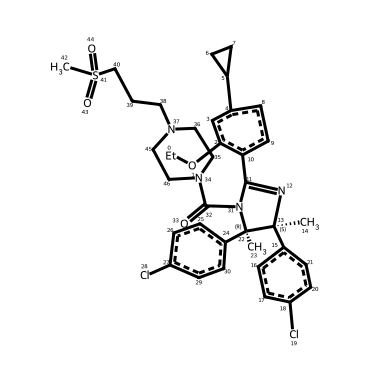 CCOc1cc(C2CC2)ccc1C1=N[C@@](C)(c2ccc(Cl)cc2)[C@@](C)(c2ccc(Cl)cc2)N1C(=O)N1CCN(CCCS(C)(=O)=O)CC1